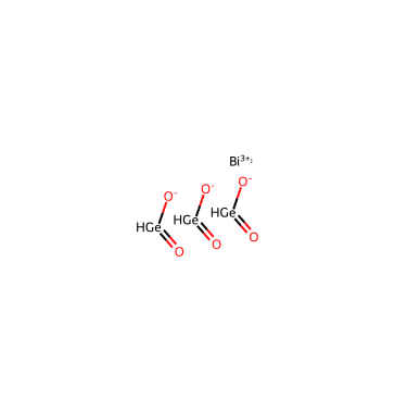 [Bi+3].[O]=[GeH][O-].[O]=[GeH][O-].[O]=[GeH][O-]